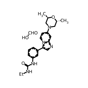 CCNC(=O)Nc1cccc(-c2cnc3cc(N4C[C@@H](C)O[C@H](C)C4)ccn23)c1.O=CO